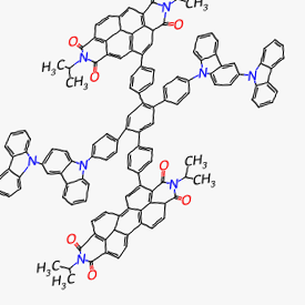 CC(C)N1C(=O)C2=CC3=C4C5=C(C=C6C=CC(=C2C64)C1=O)C(=O)N(C(C)C)C(=O)C5C=C3c1ccc(-c2cc(-c3ccc(-n4c5ccccc5c5cc(-n6c7ccccc7c7ccccc76)ccc54)cc3)c(-c3ccc(-c4cc5c6c7c4C(=O)N(C(C)C)C(=O)C7C=CC=6C4=CC=C6C(=O)N(C(C)C)C(=O)C7=C6C4C=5C=C7)cc3)cc2-c2ccc(-n3c4ccccc4c4cc(-n5c6ccccc6c6ccccc65)ccc43)cc2)cc1